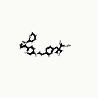 COC(=O)C1(Cc2ccc(CCOc3ccc(-c4ccnn4C4CCCCO4)nc3)cc2)COC1